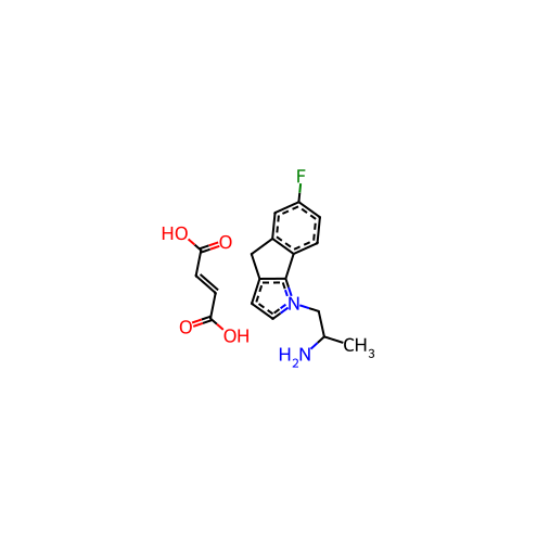 CC(N)Cn1ccc2c1-c1ccc(F)cc1C2.O=C(O)C=CC(=O)O